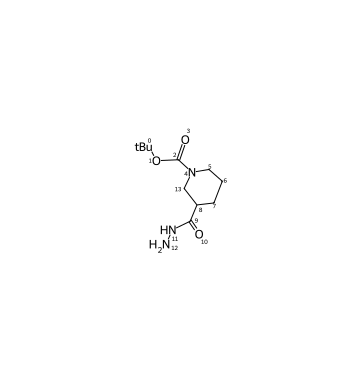 CC(C)(C)OC(=O)N1CCCC(C(=O)NN)C1